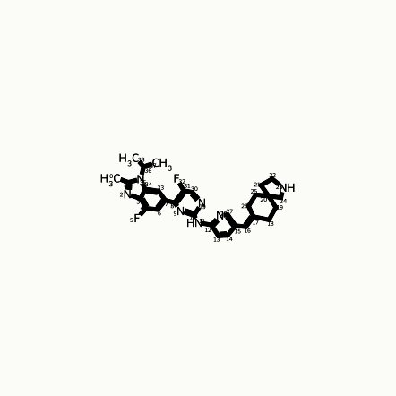 Cc1nc2c(F)cc(-c3nc(Nc4ccc(C=C5CCC6(CCNC6)CC5)cn4)ncc3F)cc2n1C(C)C